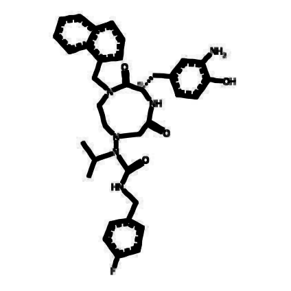 CC(C)N(C(=O)NCc1ccc(F)cc1)N1CCN(Cc2cccc3ccccc23)C(=O)[C@H](Cc2ccc(O)c(N)c2)NC(=O)C1